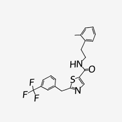 Cc1ccccc1CCNC(=O)c1cnc(Cc2cccc(C(F)(F)F)c2)s1